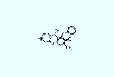 CCC(c1ncc(C(F)(F)F)c(=O)n1Cc1ccccc1)N1CCNCC1=O